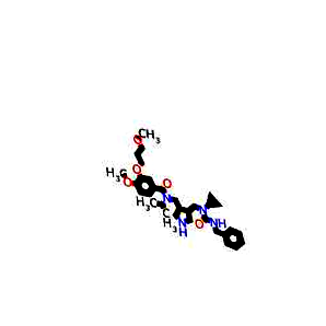 COCCCOc1cc(C(=O)N(CC2CNCC2CN(C(=O)NCc2ccccc2)C2CC2)C(C)C)ccc1OC